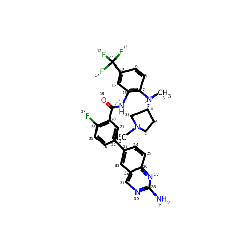 CN1CC[C@@H](N(C)c2ccc(C(F)(F)F)cc2NC(=O)c2cc(-c3ccc4nc(N)ncc4c3)ccc2F)C1